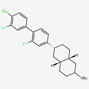 CCCCC1CC[C@@H]2C[C@H](c3ccc(-c4ccc(Cl)c(F)c4)c(F)c3)CC[C@@H]2C1